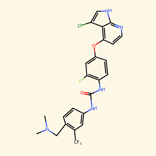 CN(C)Cc1ccc(NC(=O)Nc2ccc(Oc3ccnc4[nH]cc(Cl)c34)cc2F)cc1C(F)(F)F